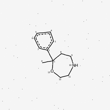 CC1(c2ccccc2)CCNCCO1